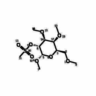 COC[C@H]1O[C@H](OC)[C@H](OS(C)(=O)=O)[C@@H](OC)[C@H]1OC